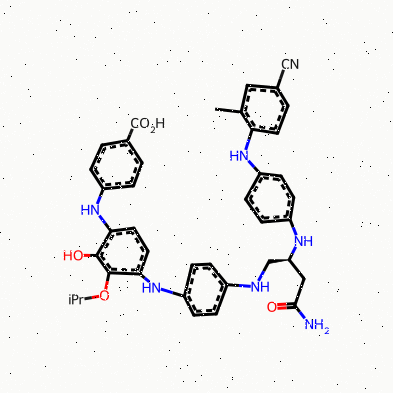 Cc1cc(C#N)ccc1Nc1ccc(N[C@H](CNc2ccc(Nc3ccc(Nc4ccc(C(=O)O)cc4)c(O)c3OC(C)C)cc2)CC(N)=O)cc1